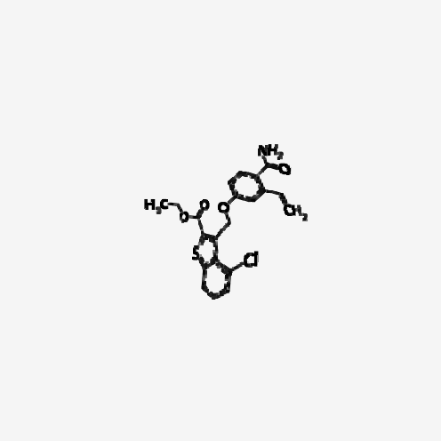 C=Cc1cc(OCc2c(C(=O)OCC)sc3cccc(Cl)c23)ccc1C(N)=O